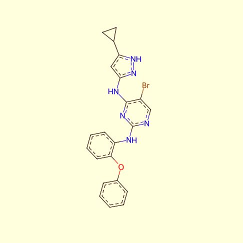 Brc1cnc(Nc2ccccc2Oc2ccccc2)nc1Nc1cc(C2CC2)[nH]n1